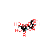 C[C@]1(O[C@H]2O[C@H](CO)[C@@H](O)C(O)C2F)OC(CO)[C@H](O)C(O)C1O